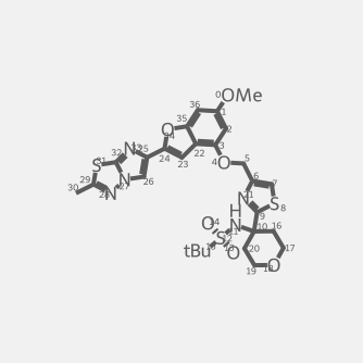 COc1cc(OCc2csc(C3(NS(=O)(=O)C(C)(C)C)CCOCC3)n2)c2cc(-c3cn4nc(C)sc4n3)oc2c1